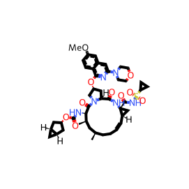 COc1ccc2c(O[C@@H]3C[C@H]4C(=O)N[C@]5(C(=O)NS(=O)(=O)C6CC6)C[C@H]5/C=C\CC[C@@H](C)C[C@@H](C)[C@H](NC(=O)O[C@@H]5C[C@@H]6C[C@@H]6C5)C(=O)N4C3)nc(N3CCOCC3)cc2c1